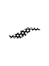 CCCCCOC1CCC(c2ccc(-c3ccc(OCCC)cc3F)c(F)c2F)CO1